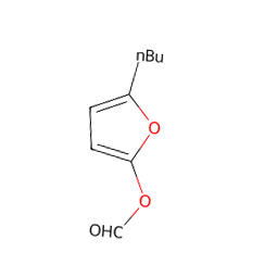 CCCCc1ccc(OC=O)o1